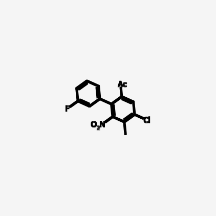 CC(=O)c1cc(Cl)c(C)c([N+](=O)[O-])c1-c1cccc(F)c1